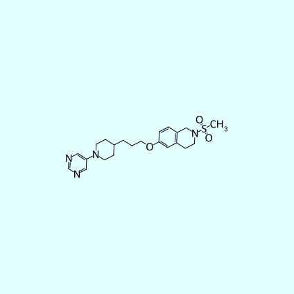 CS(=O)(=O)N1CCc2cc(OCCCC3CCN(c4cncnc4)CC3)ccc2C1